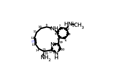 CNc1ccc2c(c1)NCCC/C=C\C[C@H](N)c1nc-2c[nH]1